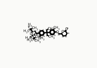 CCC(CC)(c1ccc(CC[C@@H](O[Si](C)(C)C(C)(C)C)C(C)(C)C)c(C)c1)c1ccc(OCC2CCCC(=O)O2)c(C)c1